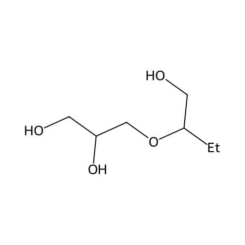 CCC(CO)OCC(O)CO